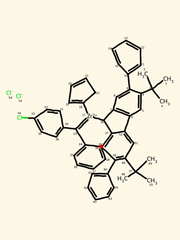 CC(C)(C)c1cc2c(cc1-c1ccccc1)[CH](/[Zr+2]([C]1=CC=CC1)=[C](\c1ccccc1)c1ccc(Cl)cc1)c1cc(-c3ccccc3)c(C(C)(C)C)cc1-2.[Cl-].[Cl-]